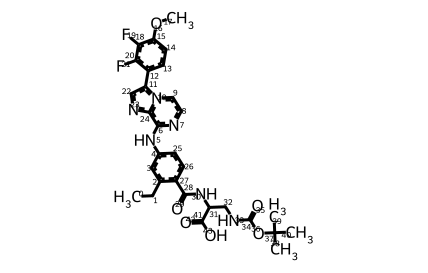 CCc1cc(Nc2nccn3c(-c4ccc(OC)c(F)c4F)cnc23)ccc1C(=O)NC(CNC(=O)OC(C)(C)C)C(=O)O